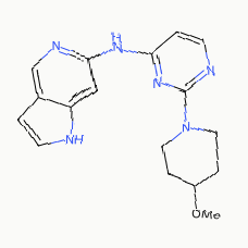 COC1CCN(c2nccc(Nc3cc4[nH]ccc4cn3)n2)CC1